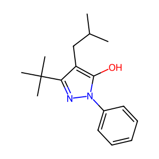 CC(C)Cc1c(C(C)(C)C)nn(-c2ccccc2)c1O